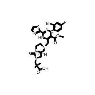 COC(=O)C1=C(CN2CCN3C(=S)N(CC(C)(C)C(=O)O)C[C@@H]3C2)NC(c2nccs2)=N[C@H]1c1ccc(F)cc1Br